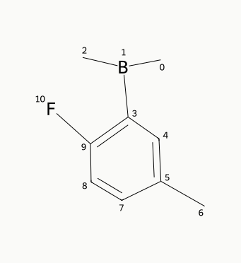 CB(C)c1cc(C)ccc1F